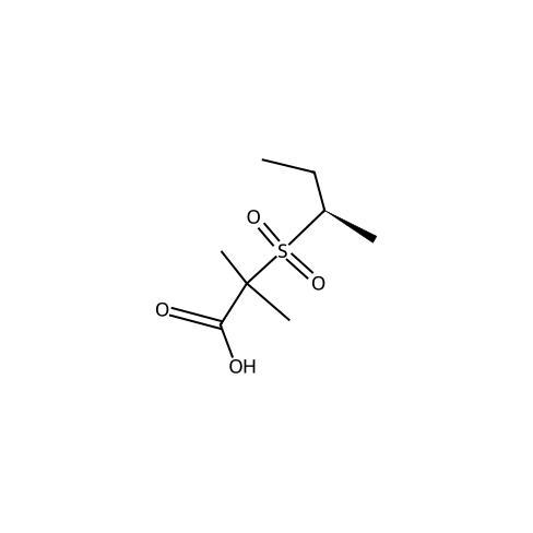 CC[C@@H](C)S(=O)(=O)C(C)(C)C(=O)O